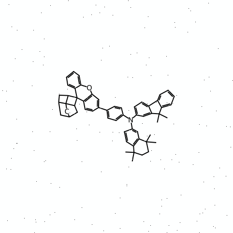 CC1(C)CCC(C)(C)c2cc(N(c3ccc(-c4ccc5c(c4)Oc4ccccc4C54C5CC6CC7CC4C75C6)cc3)c3ccc4c(c3)C(C)(C)c3ccccc3-4)ccc21